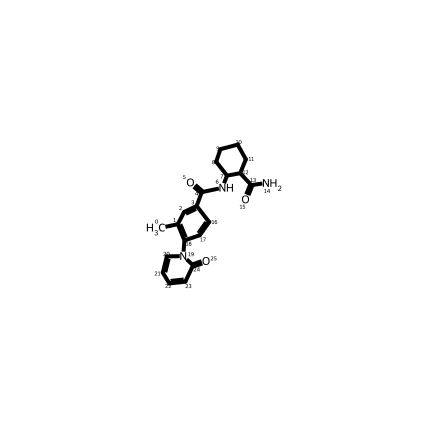 Cc1cc(C(=O)NC2CCCCC2C(N)=O)ccc1-n1ccccc1=O